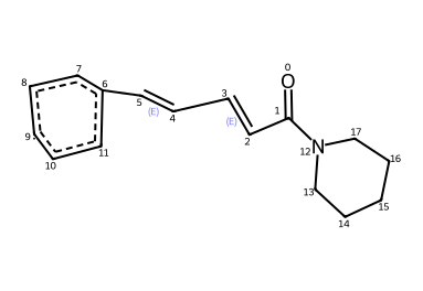 O=C(/C=C/C=C/c1cc[c]cc1)N1CCCCC1